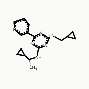 C[C@@H](Nc1nc(NCC2CC2)nc(-c2cccnc2)n1)C1CC1